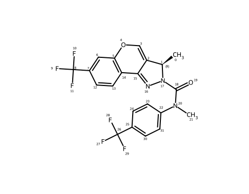 C[C@@H]1C2=COc3cc(C(F)(F)F)ccc3C2=NN1C(=O)N(C)c1ccc(C(F)(F)F)cc1